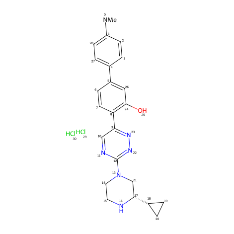 CNc1ccc(-c2ccc(-c3cnc(N4CCN[C@@H](C5CC5)C4)nn3)c(O)c2)cc1.Cl.Cl